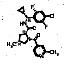 Cc1cc(C(=O)N2C[C@H](C)C[C@@H]2C(=O)N[C@@H](c2cc(F)c(Cl)cc2F)C2CC2)ccn1